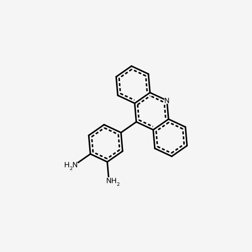 Nc1ccc(-c2c3ccccc3nc3ccccc23)cc1N